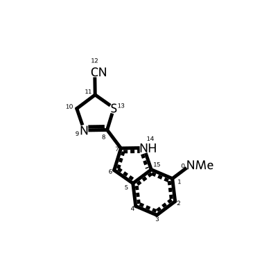 CNc1cccc2cc(C3=NCC(C#N)S3)[nH]c12